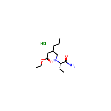 CCCC(CN[C@@H](CC)C(N)=O)CC(=O)OCC.Cl